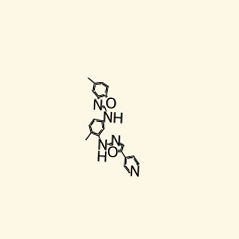 Cc1ccc2oc(Nc3ccc(C)c(Nc4ncc(-c5ccncc5)o4)c3)nc2c1